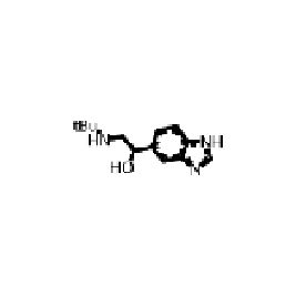 CC(C)(C)NC[C@H](O)c1ccc2[nH]cnc2c1